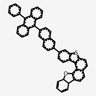 C1=CC2Oc3c(ccc4ccc5sc6cc(-c7ccc8cc(-c9c%10ccccc%10c(-c%10ccccc%10)c%10ccccc9%10)ccc8c7)ccc6c5c34)C2C=C1